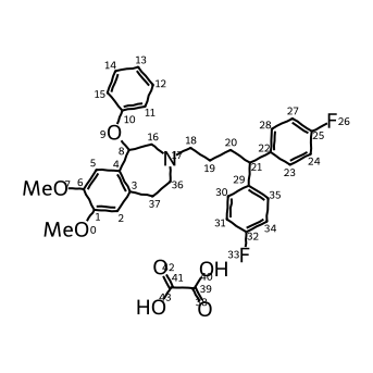 COc1cc2c(cc1OC)C(Oc1ccccc1)CN(CCCC(c1ccc(F)cc1)c1ccc(F)cc1)CC2.O=C(O)C(=O)O